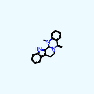 C=C1c2ccccc2N(C)C2c3[nH]c4ccccc4c3CCN12